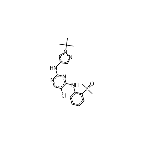 CC(C)(C)n1cc(Nc2ncc(Cl)c(Nc3ccccc3P(C)(C)=O)n2)cn1